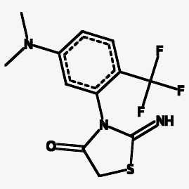 CN(C)c1ccc(C(F)(F)F)c(N2C(=N)SCC2=O)c1